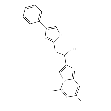 Cc1cc(C)n2cc(C(C)Sc3nc(-c4ccccc4)c[nH]3)nc2c1